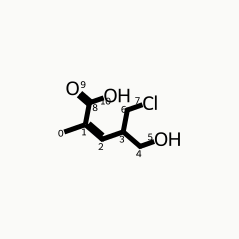 CC(=CC(CO)CCl)C(=O)O